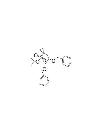 CC(C)OS(=O)(=O)C1(CC(COCc2ccccc2)OCc2ccccc2)CC1